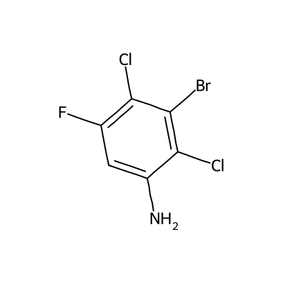 Nc1cc(F)c(Cl)c(Br)c1Cl